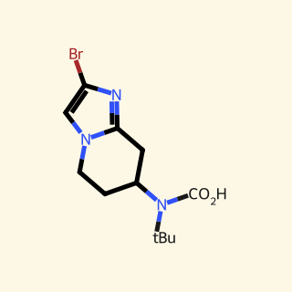 CC(C)(C)N(C(=O)O)C1CCn2cc(Br)nc2C1